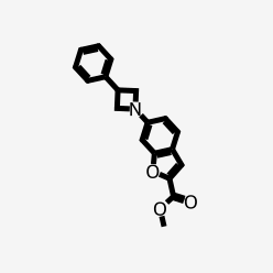 COC(=O)c1cc2ccc(N3CC(c4ccccc4)C3)cc2o1